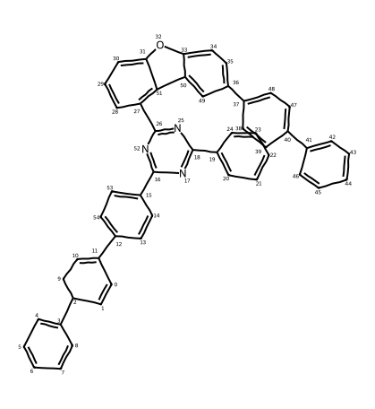 C1=CC(c2ccccc2)CC=C1c1ccc(-c2nc(-c3ccccc3)nc(-c3cccc4oc5ccc(-c6ccc(-c7ccccc7)cc6)cc5c34)n2)cc1